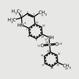 CC1=CC(C)(C)Nc2ccc(NS(=O)(=O)c3cccc(C)c3)cc21